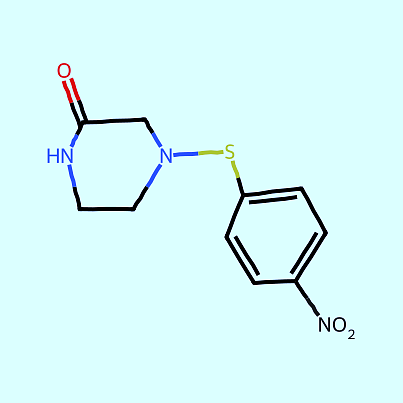 O=C1CN(Sc2ccc([N+](=O)[O-])cc2)CCN1